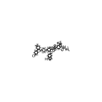 CN(C)CCC(=O)Nc1ccc(S(=O)(=O)NC(=O)c2ccc(N3CCN(CC4=C(c5ccc(Cl)cc5)CC(C)(C)CC4)CC3)cc2Oc2ccc3[nH]ccc3c2)cc1C(F)(F)F